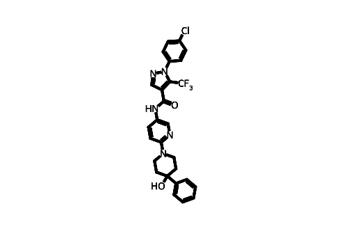 O=C(Nc1ccc(N2CCC(O)(c3ccccc3)CC2)nc1)c1cnn(-c2ccc(Cl)cc2)c1C(F)(F)F